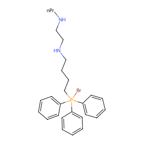 CCCNCCNCCCCP(Br)(c1ccccc1)(c1ccccc1)c1ccccc1